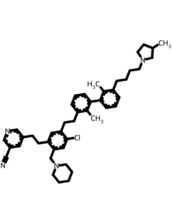 Cc1c(CCCCN2CCC(C)C2)cccc1-c1cccc(CCc2cc(CCc3cncc(C#N)c3)c(CN3CCCCC3)cc2Cl)c1C